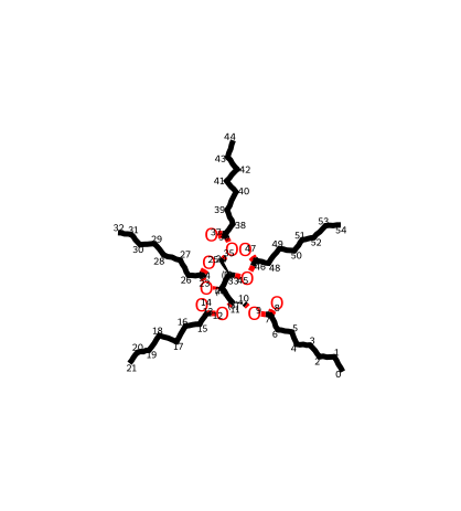 CCCCCCCC(=O)OC[C@H](OC(=O)CCCCCCC)[C@@H](OC(=O)CCCCCCC)[C@@H](COC(=O)CCCCCCC)OC(=O)CCCCCCC